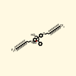 CCC(C)CC(CC(CCO)(c1ccc(OCCCC(F)(F)C(F)(F)C(F)(F)C(F)(F)C(F)(F)C(F)(F)C(F)(F)C(F)(F)F)cc1)c1ccc(OCCCC(F)(F)C(F)(F)C(F)(F)C(F)(F)C(F)(F)C(F)(F)C(F)(F)C(F)(F)F)cc1)c1ccccc1